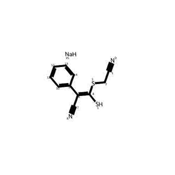 N#CCSC(S)=C(C#N)c1ccccc1.[NaH]